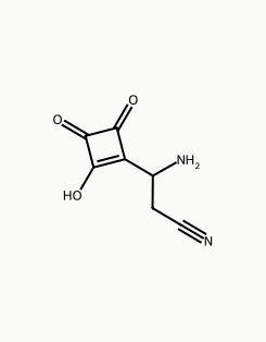 N#CCC(N)c1c(O)c(=O)c1=O